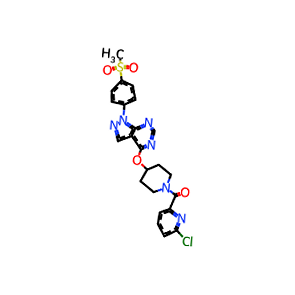 CS(=O)(=O)c1ccc(-n2ncc3c(OC4CCN(C(=O)c5cccc(Cl)n5)CC4)ncnc32)cc1